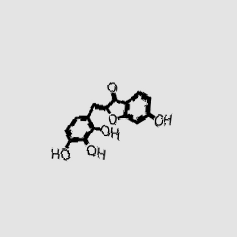 O=C1/C(=C/c2ccc(O)c(O)c2O)Oc2cc(O)ccc21